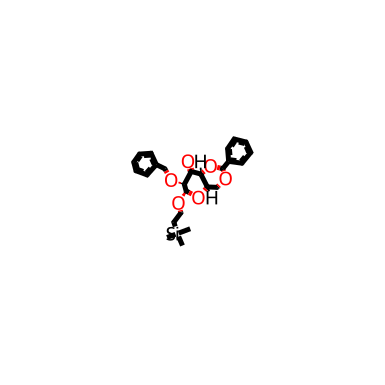 C[Si](C)(C)CCO[C@@H]1O[C@@H]2COC(c3ccccc3)O[C@@H]2C(=O)[C@H]1OCc1ccccc1